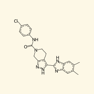 Cc1cc2nc(-c3[nH]nc4c3CCN(C(=O)Nc3ccc(Cl)cc3)C4)[nH]c2cc1C